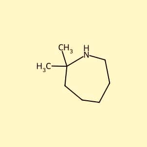 CC1(C)CCCCCN1